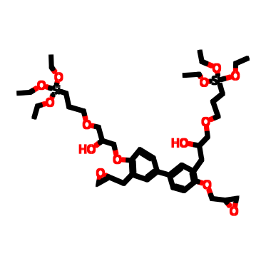 CCO[Si](CCCOCC(O)COc1ccc(-c2ccc(OCC3CO3)c(CC(O)COCCC[Si](OCC)(OCC)OCC)c2)cc1CC1CO1)(OCC)OCC